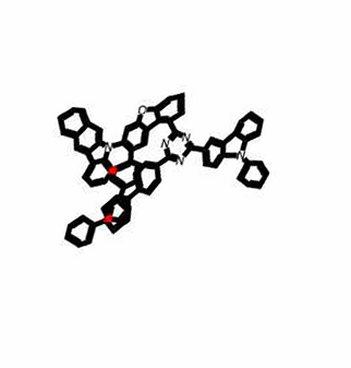 c1ccc(-c2ccc(-c3nc(-c4ccc5c(c4)c4ccccc4n5-c4ccccc4)nc(-c4cccc5oc6cc(-n7c8ccccc8c8cc9ccccc9cc87)c(-c7ccc(-c8cccc(-c9ccccc9)c8)cc7)cc6c45)n3)cc2)cc1